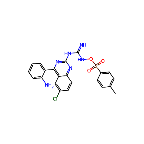 Cc1ccc(S(=O)(=O)ONC(=N)Nc2nc(-c3ccccc3N)c3cc(Cl)ccc3n2)cc1